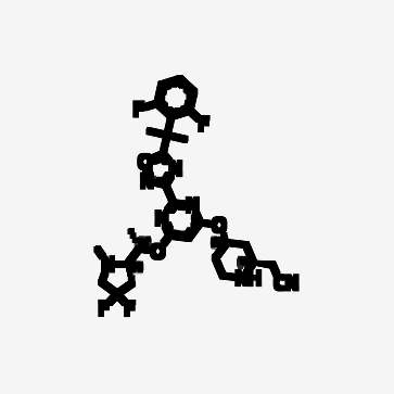 C[C@H](Oc1cc(O[C@H]2CCN[C@H](CC#N)C2)nc(-c2noc(C(C)(C)c3c(F)cccc3F)n2)n1)[C@@H]1CC(F)(F)CN1C